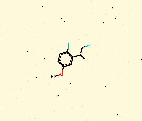 CCOc1ccc(F)c([C](C)CF)c1